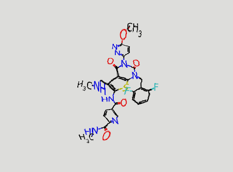 CNCc1c(NC(=O)c2ccc(C(=O)NC)nc2)sc2c1c(=O)n(-c1ccc(OC)nn1)c(=O)n2Cc1c(F)cccc1F